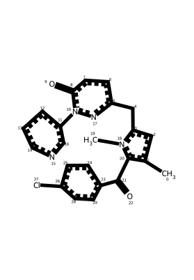 Cc1cc(Cc2ccc(=O)n(-c3cccnc3)n2)n(C)c1C(=O)c1ccc(Cl)cc1